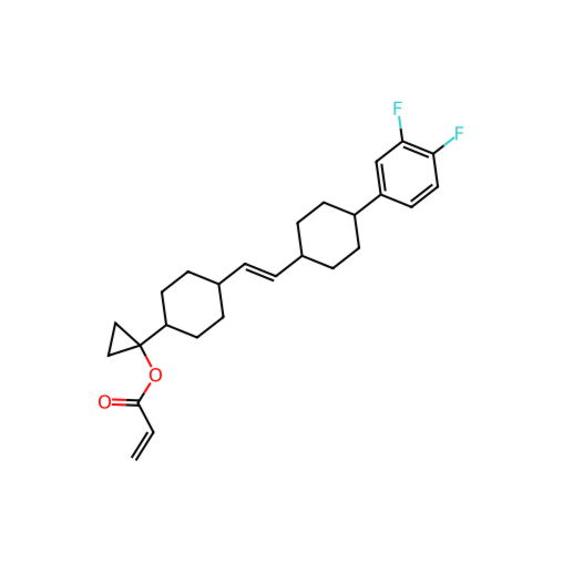 C=CC(=O)OC1(C2CCC(C=CC3CCC(c4ccc(F)c(F)c4)CC3)CC2)CC1